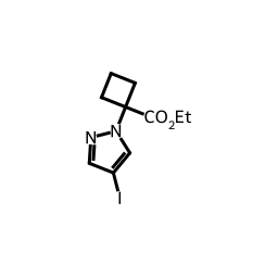 CCOC(=O)C1(n2cc(I)cn2)CCC1